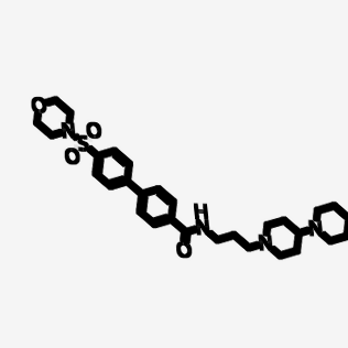 O=C(NCCCN1CCC(N2CCCCC2)CC1)c1ccc(-c2ccc(S(=O)(=O)N3CCOCC3)cc2)cc1